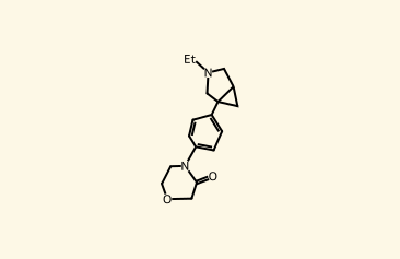 CCN1CC2CC2(c2ccc(N3CCOCC3=O)cc2)C1